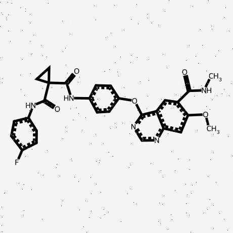 CNC(=O)c1cc2c(Oc3ccc(NC(=O)C4(C(=O)Nc5ccc(F)cc5)CC4)cc3)ncnc2cc1OC